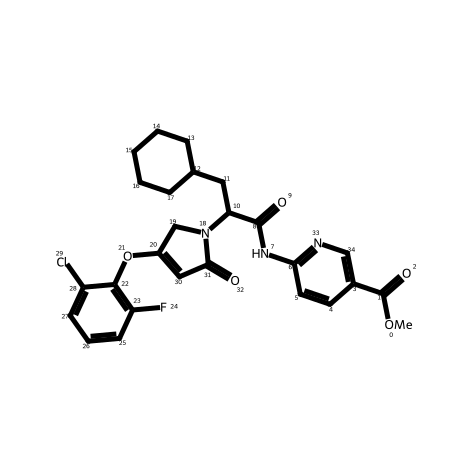 COC(=O)c1ccc(NC(=O)C(CC2CCCCC2)N2CC(Oc3c(F)cccc3Cl)=CC2=O)nc1